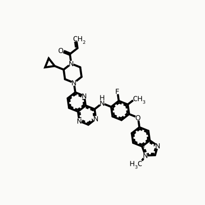 C=CC(=O)N1CCN(c2ccc3ncnc(Nc4ccc(Oc5ccc6c(c5)ncn6C)c(C)c4F)c3n2)CC1C1CC1